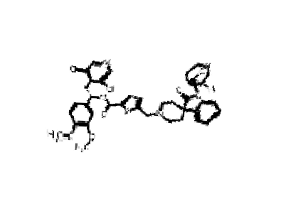 COc1ccc([C@H](Cc2c(Cl)cncc2Cl)OC(=O)c2ccc(CN3CCC(C(=O)O[C@H]4CN5CCC4CC5)(c4ccccc4)CC3)s2)cc1OC